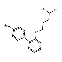 CCC(O)CCCOc1ccccc1-c1ccc(OC)cc1